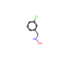 ONCc1cccc(Cl)c1